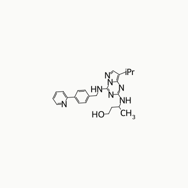 CC(CCO)Nc1nc(NCc2ccc(-c3ccccn3)cc2)n2ncc(C(C)C)c2n1